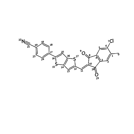 Cc1cc2c(cc1Cl)C(=O)/C(=C\c1cc3sc(-c4ccc(C#N)cc4)cc3s1)C2=O